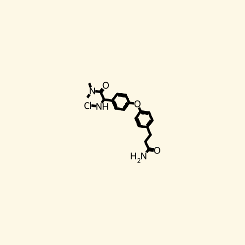 CN(C)C(=O)C(NCl)c1ccc(Oc2ccc(CCC(N)=O)cc2)cc1